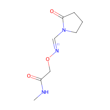 CNC(=O)CO/N=C/N1CCCC1=O